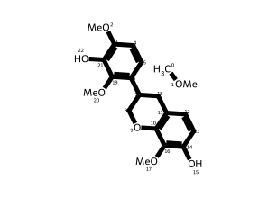 COC.COc1ccc(C2COc3c(ccc(O)c3OC)C2)c(OC)c1O